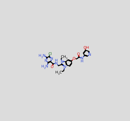 CCn1c(CNC(=O)c2nc(Cl)c(N)nc2N)[n+](CC)c2ccc(OCC(=O)Nc3cncc(O)c3)cc21